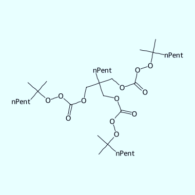 CCCCCC(COC(=O)OOC(C)(C)CCCCC)(COC(=O)OOC(C)(C)CCCCC)COC(=O)OOC(C)(C)CCCCC